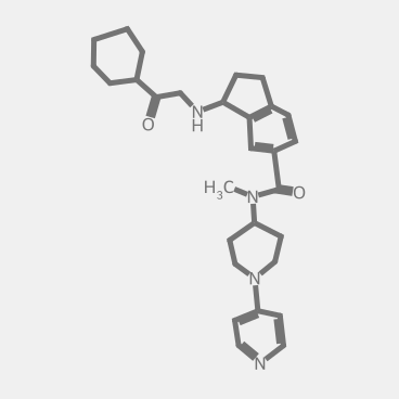 CN(C(=O)c1ccc2c(c1)C(NCC(=O)C1CCCCC1)CC2)C1CCN(c2ccncc2)CC1